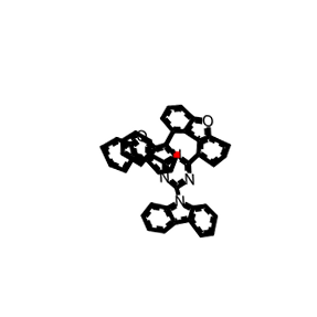 c1ccc(-c2nc(-c3cccc4oc5cccc(-c6cccc7c6oc6ccccc67)c5c34)nc(-n3c4ccccc4c4ccccc43)n2)cc1